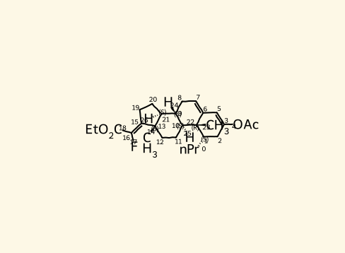 CCC[C@H]1CC(OC(C)=O)=CC2=CC[C@@H]3[C@H](CC[C@]4(C)C(=C(F)C(=O)OCC)CC[C@@H]34)[C@]21C